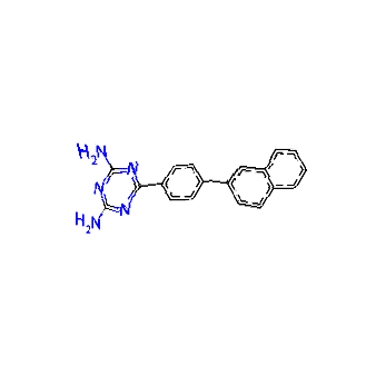 Nc1nc(N)nc(-c2ccc(-c3ccc4ccccc4c3)cc2)n1